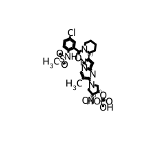 Cc1cn2nc([C@@H]3CCCCN3C(=O)c3cc(Cl)ccc3NS(C)(=O)=O)cc2nc1N1C[C@H](OP(=O)(O)O)[C@@H](C#N)C1